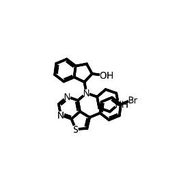 OC1Cc2ccccc2C1N(c1ncnc2scc(-c3ccc(Br)cc3)c12)C1CCNCC1